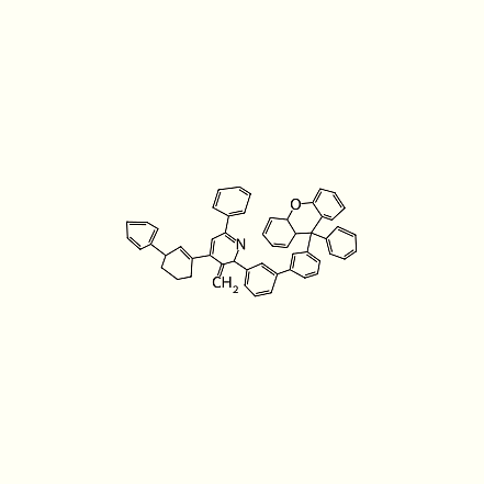 C=C1C(C2=CC(c3ccccc3)CCC2)=CC(c2ccccc2)=NC1c1cccc(-c2cccc(C3(c4ccccc4)c4ccccc4OC4C=CC=CC43)c2)c1